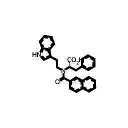 O=C(O)[C@H](Cc1ccccc1)N(CCc1c[nH]c2ccccc12)C(=O)c1ccc2ccccc2c1